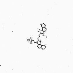 CCC[N+]1=C(/C=C/C=C2/N(CCS(=O)(=O)O)c3ccc4ccccc4c3C2(C)C)C(C)(C)c2c1ccc1ccccc21